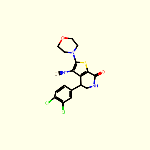 [C-]#[N+]c1c(N2CCOCC2)sc2c1C(c1ccc(Cl)c(Cl)c1)CNC2=O